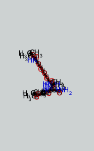 CC(C)[C@H](NC(=O)CCOCCOCCOCCOCCNC(=O)COC(C)(C)C)C(=O)N[C@@H](CCCNC(N)=O)C(=O)Nc1ccc(COC(=O)C(C)(C)C)cc1